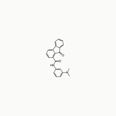 CN(C)c1cccc(NC(=O)c2cccc3c2C(=O)c2ccccc2-3)c1